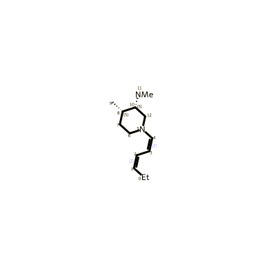 CC/C=C\C=C/N1CC[C@H](C)[C@H](NC)C1